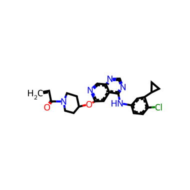 C=CC(=O)N1CCC(Oc2cc3c(Nc4ccc(Cl)c(C5CC5)c4)ncnc3cn2)CC1